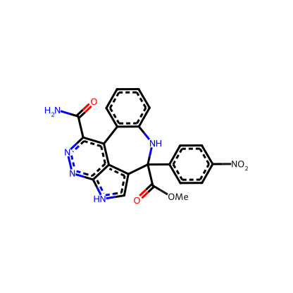 COC(=O)C1(c2ccc([N+](=O)[O-])cc2)Nc2ccccc2-c2c(C(N)=O)nnc3[nH]cc1c23